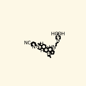 C=C(C)[C@@H]1CC[C@]2(CNCCCN3CCS(O)(O)CC3)CC[C@]3(C)[C@H](CC[C@@H]4[C@@]5(C)CCN(c6ccc(C#N)cn6)C(C)(C)[C@@H]5CC[C@]43C)[C@@H]12